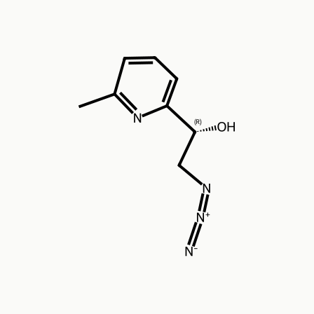 Cc1cccc([C@H](O)CN=[N+]=[N-])n1